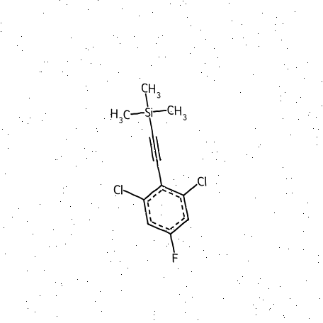 C[Si](C)(C)C#Cc1c(Cl)cc(F)cc1Cl